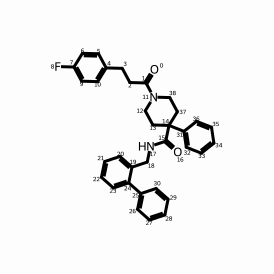 O=C(CCc1ccc(F)cc1)N1CCC(C(=O)NCc2ccccc2-c2ccccc2)(c2ccccc2)CC1